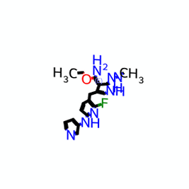 CCO/C(N)=C1\C(Cc2ccc(Nc3cccnc3)nc2F)=CNC1=NNC